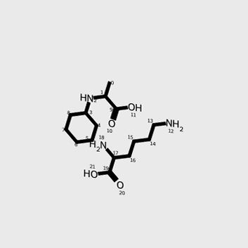 CC(NC1CCCCC1)C(=O)O.NCCCCC(N)C(=O)O